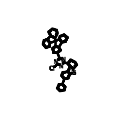 Clc1nc(-c2ccc3c(c2)-c2ccccc2C32c3ccccc3-c3ccccc32)nc(-c2cccc3sc4cc(-c5ccccc5)ccc4c23)n1